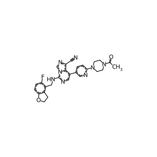 CC(=O)N1CCN(c2ccc(-c3cnc(NCc4c(F)ccc5c4CCO5)n4cnc(C#N)c34)cn2)CC1